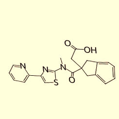 CN(C(=O)C1(CC(=O)O)Cc2ccccc2C1)c1nc(-c2ccccn2)cs1